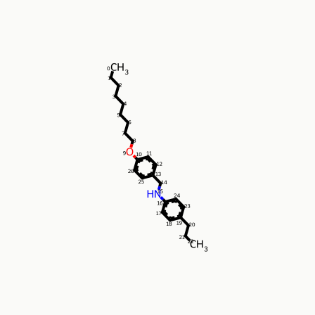 CCCCCCCCCOc1ccc(CNc2ccc(CCC)cc2)cc1